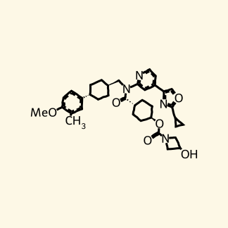 COc1ccc([C@H]2CC[C@H](CN(c3cc(-c4coc(C5CC5)n4)ccn3)C(=O)[C@H]3CC[C@H](OC(=O)N4CC(O)C4)CC3)CC2)cc1C